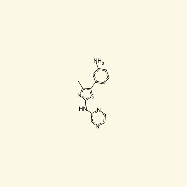 Cc1nc(Nc2cnccn2)sc1-c1cccc(N)c1